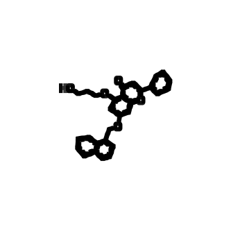 O=c1cc(-c2ccccc2)oc2cc(OCc3cccc4ccccc34)cc(OCCCO)c12